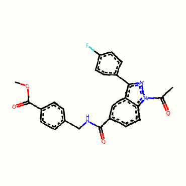 COC(=O)c1ccc(CNC(=O)c2ccc3c(c2)c(-c2ccc(F)cc2)nn3C(C)=O)cc1